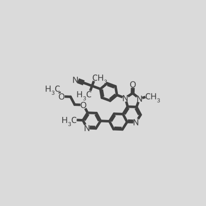 COCCOc1cc(-c2ccc3ncc4c(c3c2)n(-c2ccc(C(C)(C)C#N)cc2)c(=O)n4C)cnc1C